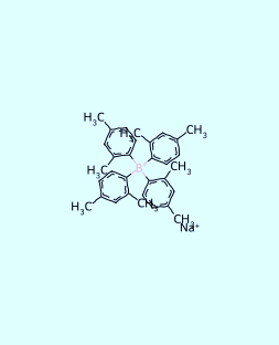 Cc1ccc([B-](c2ccc(C)cc2C)(c2ccc(C)cc2C)c2ccc(C)cc2C)c(C)c1.[Na+]